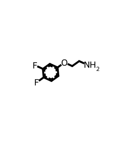 NCCOc1ccc(F)c(F)c1